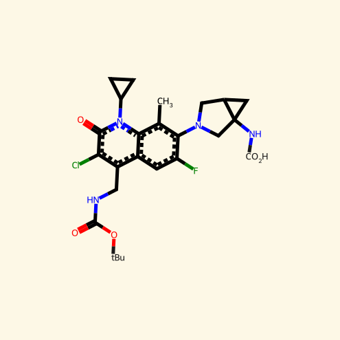 Cc1c(N2CC3CC3(NC(=O)O)C2)c(F)cc2c(CNC(=O)OC(C)(C)C)c(Cl)c(=O)n(C3CC3)c12